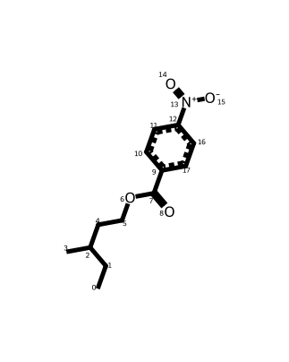 CCC(C)CCOC(=O)c1ccc([N+](=O)[O-])cc1